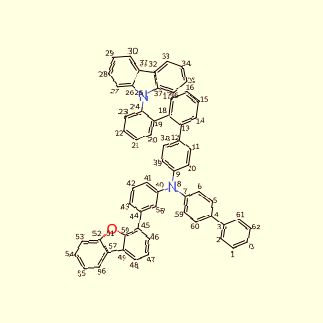 c1ccc(-c2ccc(N(c3ccc(-c4ccccc4-c4ccccc4-n4c5ccccc5c5ccccc54)cc3)c3cccc(-c4cccc5c4oc4ccccc45)c3)cc2)cc1